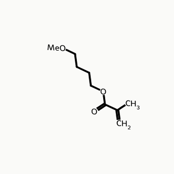 C=C(C)C(=O)OCCCCOC